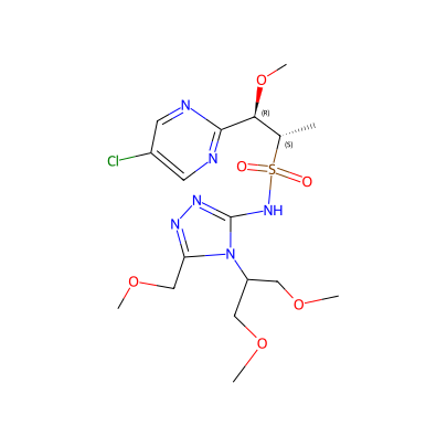 COCc1nnc(NS(=O)(=O)[C@@H](C)[C@H](OC)c2ncc(Cl)cn2)n1C(COC)COC